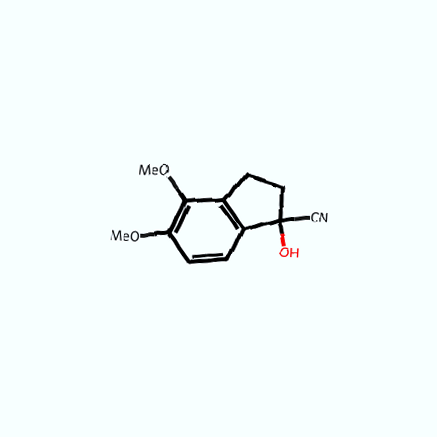 COc1ccc2c(c1OC)CCC2(O)C#N